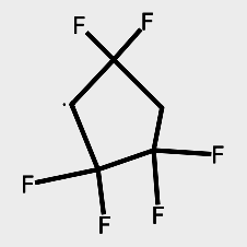 FC1(F)[CH]C(F)(F)C(F)(F)C1